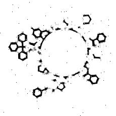 CCCC[C@@H]1NC(=O)C(Cc2c[nH]c3ccccc23)NC(=O)[C@H](C)NC(=O)C[C@@H](C(=O)N2CCC[C@H]2C(=O)OC(C)(C)c2ccccc2)NC(=O)[C@@H]2CCCN2C(=O)CN(C)C(=O)[C@H](Cc2cn(C(c3ccccc3)(c3ccccc3)c3ccccc3)cn2)C2C(=O)[C@H](Cc3cc(Cl)ccc32)N(C)C(=O)CN(CCC)C(=O)[C@H](COC2CCCCO2)NC(=O)[C@H](Cc2c[nH]c3ccccc23)NC1=O